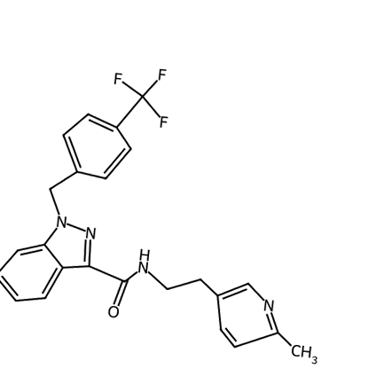 Cc1ccc(CCNC(=O)c2nn(Cc3ccc(C(F)(F)F)cc3)c3ccccc23)cn1